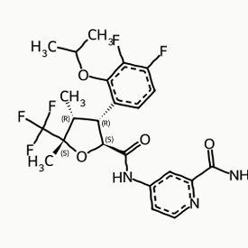 CC(C)Oc1c([C@@H]2[C@@H](C(=O)Nc3ccnc(C(N)=O)c3)O[C@](C)(C(F)(F)F)[C@@H]2C)ccc(F)c1F